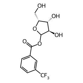 O=C(OC1O[C@H](CO)[C@H](O)[C@H]1O)c1cccc(C(F)(F)F)c1